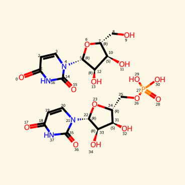 O=c1ccn([C@@H]2O[C@H](CO)[C@@H](O)[C@H]2O)c(=O)[nH]1.O=c1ccn([C@@H]2O[C@H](COP(=O)(O)O)[C@@H](O)[C@H]2O)c(=O)[nH]1